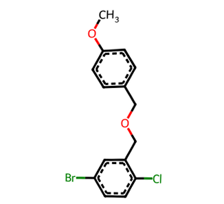 COc1ccc(COCc2cc(Br)ccc2Cl)cc1